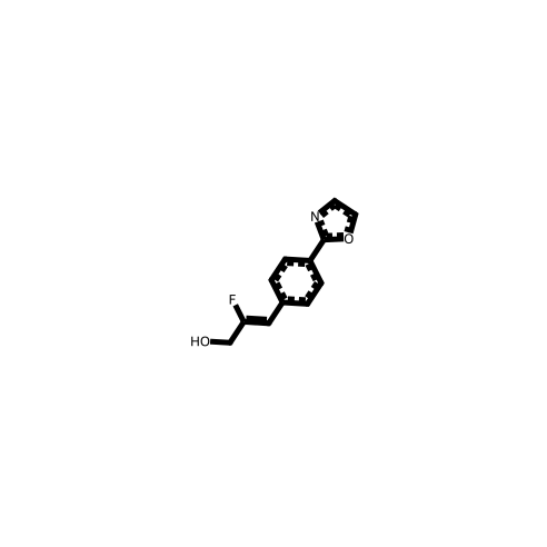 OCC(F)=Cc1ccc(-c2ncco2)cc1